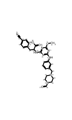 COc1nc(Nc2cccc(CN3CCN(C=O)CC3)c2)nc(NC(Cc2ccc(C#N)cc2)C(=O)O)n1